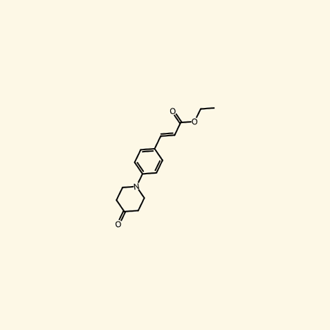 CCOC(=O)/C=C/c1ccc(N2CCC(=O)CC2)cc1